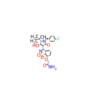 CC(C)(C)C1C(O)=C(C2=NS(=O)(=O)c3c(OCC(N)=O)cccc32)C(=O)N1Cc1ccc(F)cc1